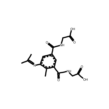 CC(C)=Nc1cc(C(=O)NCC(=O)O)cc(C(=O)NCC(=O)O)c1C